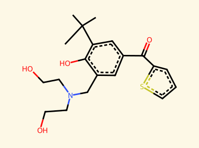 CC(C)(C)c1cc(C(=O)c2cccs2)cc(CN(CCO)CCO)c1O